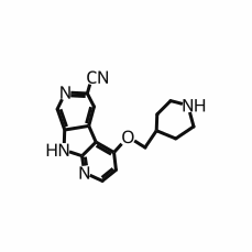 N#Cc1cc2c(cn1)[nH]c1nccc(OCC3CCNCC3)c12